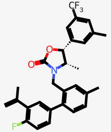 C=C(C)c1cc(-c2ccc(C)cc2CN2C(=O)O[C@H](c3cc(C)cc(C(F)(F)F)c3)[C@@H]2C)ccc1F